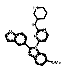 COc1ccc2nc(-c3ccc4occc4c3)n(-c3ccnc(NC4CCCNC4)n3)c2c1